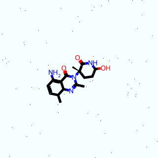 CC1=NC2C(=C(N)C=CC2C)C(=O)N1[C@@]1(C)CCC(O)NC1=O